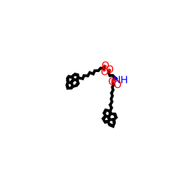 N=C(CCC(=O)OC(=O)CCCCCCCCc1ccc2ccc3cccc4ccc1c2c34)OC(=O)CCCCCCCCc1ccc2ccc3cccc4ccc1c2c34